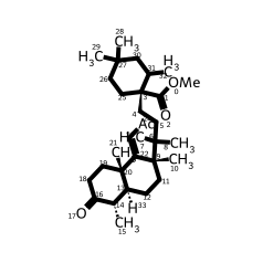 COC(=O)[C@]1(CCC(C)(C)[C@]2(C)CC[C@H]3[C@H](C)C(=O)CC[C@]3(C)/C2=C/C(C)=O)CCC(C)(C)CC1C